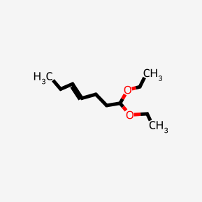 CC/C=C/CCC(OCC)OCC